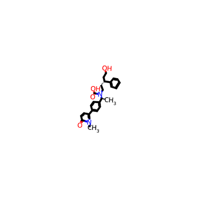 C[C@@H](c1ccc(-c2ccc(=O)n(C)c2)cc1)N(CC[C@H](CCO)c1ccccc1)C(=O)O